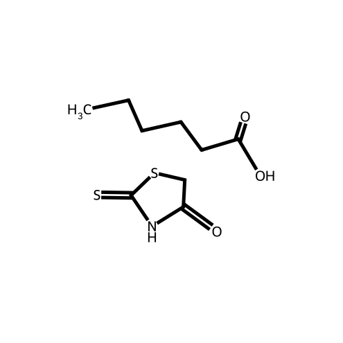 CCCCCC(=O)O.O=C1CSC(=S)N1